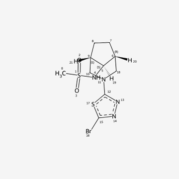 CS(=O)(=O)N[C@@H]1[C@@H]2CC[C@H]1CN(c1nnc(Br)s1)C2